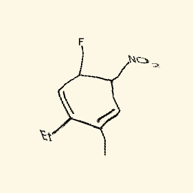 CCC1=CC(F)C([N+](=O)[O-])C=C1C